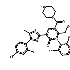 CCc1cccc(CC)c1-n1c(CC(C)C)c(C(=O)N2CCNCC2)cc(-c2nc(-c3ccc(Cl)cc3F)c(C)s2)c1=O